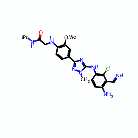 COc1cc(-c2nc(Nc3ccc(N)c(C=N)c3Cl)n(C)n2)ccc1NCC(=O)NC(C)C